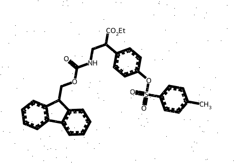 CCOC(=O)C(CNC(=O)OCC1c2ccccc2-c2ccccc21)c1ccc(OS(=O)(=O)c2ccc(C)cc2)cc1